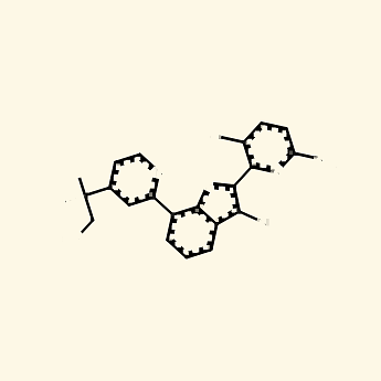 C[C@@](O)(CO)c1ccnc(-c2cccc3c(N)c(-c4nc(N)ccc4Cl)sc23)c1